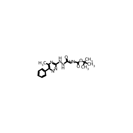 Cc1nc(NNC(=O)CNC(=O)OC(C)(C)C)nnc1-c1ccccc1